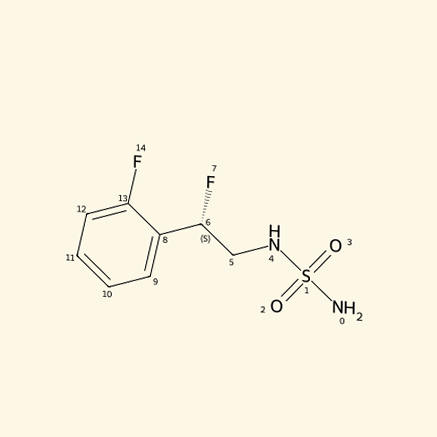 NS(=O)(=O)NC[C@@H](F)c1ccccc1F